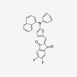 O=C1C(=Cc2ccc(N(c3ccccc3)c3cccc4ccccc34)s2)C(=O)c2cc(F)c(F)cc21